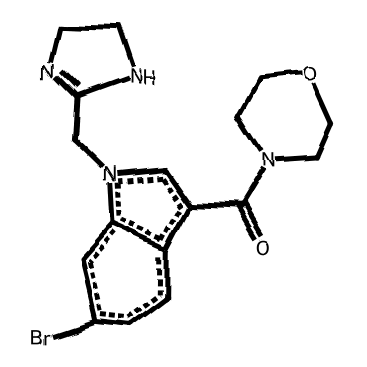 O=C(c1cn(CC2=NCCN2)c2cc(Br)ccc12)N1CCOCC1